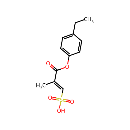 CCc1ccc(OC(=O)C(C)=CS(=O)(=O)O)cc1